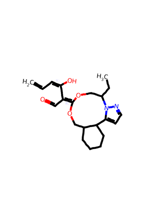 C=C/C=C(O)\C(C=O)=C1\OCC2CCCCC2c2ccnn2C(CC)CO1